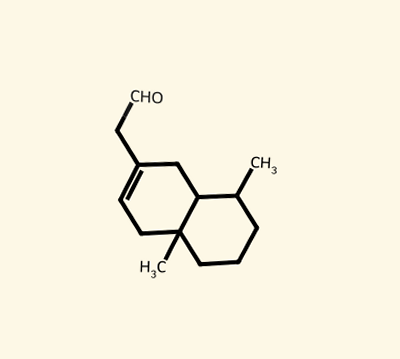 CC1CCCC2(C)CC=C(CC=O)CC12